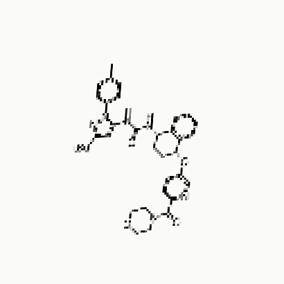 Cc1ccc(-n2nc(C(C)(C)C)cc2NC(=O)N[C@H]2CC[C@@H](Oc3ccc(C(=O)N4CCOCC4)nc3)c3ccccc32)cc1